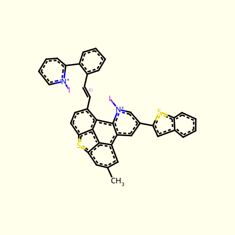 Cc1cc2sc3ccc(/C=C/c4ccccc4-c4cccc[n+]4I)c4c3c2c(c1)c1cc(-c2cc3ccccc3s2)c[n+](I)c14